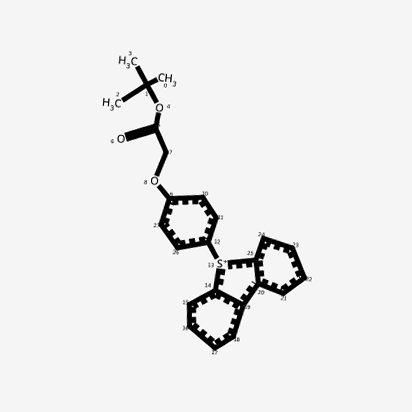 CC(C)(C)OC(=O)COc1ccc(-[s+]2c3ccccc3c3ccccc32)cc1